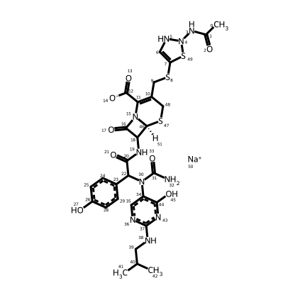 CC(=O)NN1NC=C(SCC2=C(C(=O)[O-])N3C(=O)C(NC(=O)C(c4ccc(O)cc4)N(C(N)=O)c4cnc(NCC(C)C)nc4O)[C@@H]3SC2)S1.[Na+]